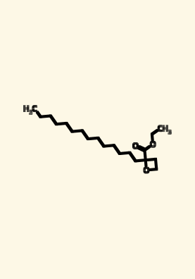 CCCCCCCCCCCCCCC1(C(=O)OCC)CCO1